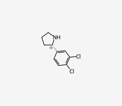 Clc1ccc([C@@H]2CCCN2)cc1Cl